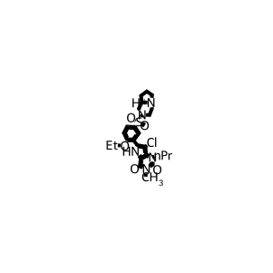 CCCn1c(=O)n(C)c(=O)c2[nH]c(-c3cc(S(=O)(=O)N4CCN5CCC[C@@H]5C4)ccc3OCC)c(Cl)c21